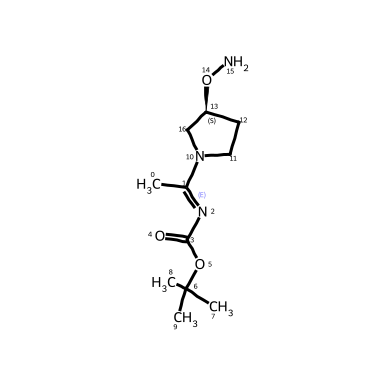 C/C(=N\C(=O)OC(C)(C)C)N1CC[C@H](ON)C1